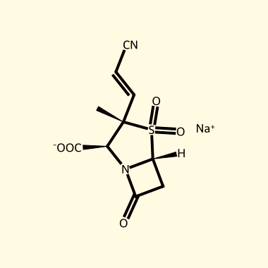 C[C@]1(C=CC#N)[C@H](C(=O)[O-])N2C(=O)C[C@H]2S1(=O)=O.[Na+]